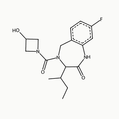 CCC(C)C1C(=O)Nc2cc(F)ccc2CN1C(=O)N1CC(O)C1